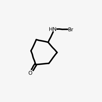 O=C1CCC(NBr)CC1